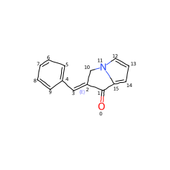 O=C1/C(=C/c2ccccc2)Cn2cccc21